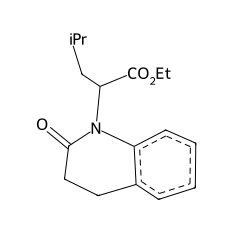 CCOC(=O)C(CC(C)C)N1C(=O)CCc2ccccc21